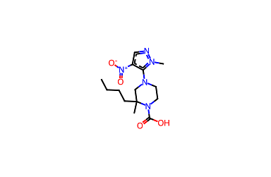 CCCCC1(C)CN(c2c([N+](=O)[O-])cnn2C)CCN1C(=O)O